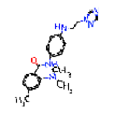 Cc1ccc(C(=O)Nc2ccc(NCCn3cncn3)cc2)c(N(C)C)c1